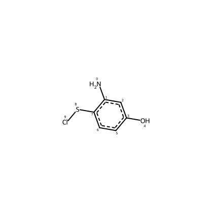 Nc1cc(O)ccc1SCl